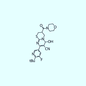 CC(C)(C)c1ncc(C2=C(C#N)C(O)N3CC(C(=O)N4CCOCC4)CSC3=N2)cc1F